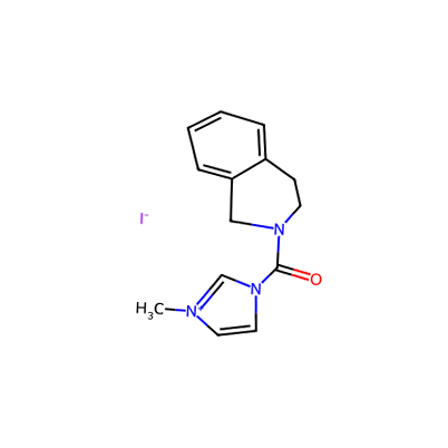 C[n+]1ccn(C(=O)N2CCc3ccccc3C2)c1.[I-]